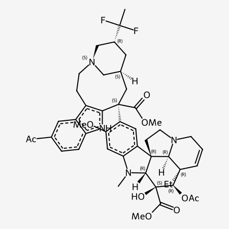 CC[C@]12C=CCN3CC[C@@]4(c5cc([C@@]6(C(=O)OC)C[C@@H]7C[C@@H](C(C)(F)F)C[N@](CCc8c6[nH]c6ccc(C(C)=O)cc86)C7)c(OC)cc5N(C)[C@H]4[C@@](O)(C(=O)OC)[C@@H]1OC(C)=O)[C@@H]32